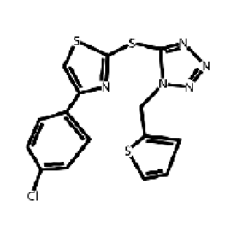 Clc1ccc(-c2csc(Sc3nnnn3Cc3cccs3)n2)cc1